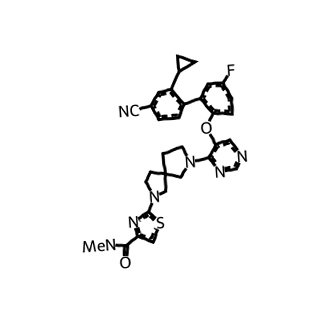 CNC(=O)c1csc(N2CCC3(CCN(c4ncncc4Oc4ccc(F)cc4-c4ccc(C#N)cc4C4CC4)C3)C2)n1